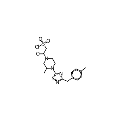 Cc1ccc(Cc2nsc(N3CCN(C(=O)CS(=O)(=O)Cl)CC3C)n2)cc1